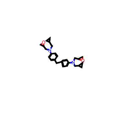 c1cc(N(CC2CC2)CC2CO2)ccc1Cc1ccc(N(CC2CC2)CC2CO2)cc1